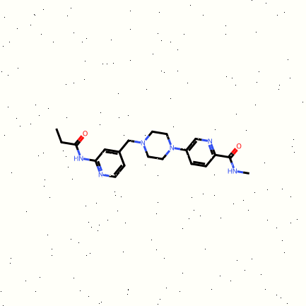 CCC(=O)Nc1cc(CN2CCN(c3ccc(C(=O)NC)nc3)CC2)ccn1